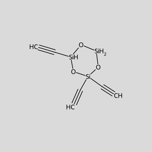 C#C[SiH]1O[SiH2]O[Si](C#C)(C#C)O1